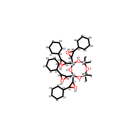 C[Si]1(C)O[Si](C)(C)O[Si](C2OC2C2CCCCC2)(C2OC2C2CCCCC2)O[Si](C2OC2C2CCCCC2)(C2OC2C2CCCCC2)O1